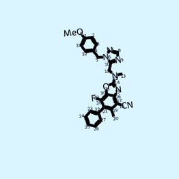 COc1ccc(Cn2ncnc2CN(C)c2nc3c(C#N)c(C)c(-c4ccccc4)c(F)c3o2)cc1